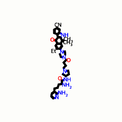 CCc1cc2c(cc1N1CCN(C(=O)CCCN3CC[C@@H](NC(=O)[C@@H](N)CCCc4cccnc4N)C3)CC1)C(C)(C)c1[nH]c3cc(C#N)ccc3c1C2=O